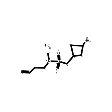 C=CCCN(C)S(=O)(=O)CC1CC(N)C1.Cl